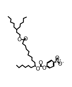 CCCCCCC(CCCCCCCCC(=O)OCCC(CCCCC)CCCCC)OC(=O)Oc1ccc([N+](=O)[O-])cc1